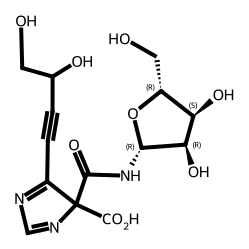 O=C(O)C1(C(=O)N[C@@H]2O[C@H](CO)[C@@H](O)[C@H]2O)N=CN=C1C#CC(O)CO